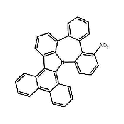 O=[N+]([O-])c1cccc2c1-c1ccccc1-c1cccc3c4c5ccccc5c5ccccc5c4n-2c13